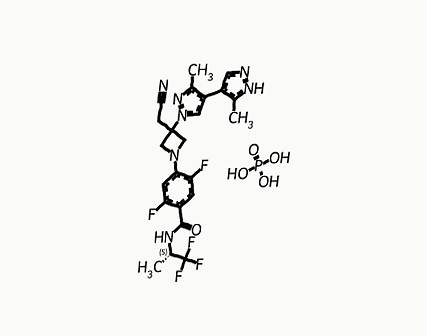 Cc1nn(C2(CC#N)CN(c3cc(F)c(C(=O)N[C@@H](C)C(F)(F)F)cc3F)C2)cc1-c1cn[nH]c1C.O=P(O)(O)O